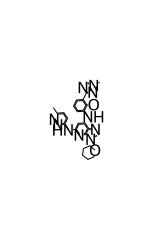 COc1c(Nc2cc(Nc3ccc(C)nn3)nc3c2ncn3C2CCCCO2)cccc1-c1ncn(C)n1